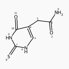 NC(=O)Cc1c[nH]c(=S)[nH]c1=O